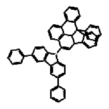 C1=C(n2c3ccc(-c4ccccc4)cc3c3cc(-c4ccccc4)ccc32)c2cccc3c2C2C1c1ccccc1C2(c1ccccc1)c1ccccc1-3